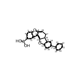 OB(O)c1ccc2oc3c(c2c1)=C1Oc2ccc(-c4ccccc4)cc2C1CC=3